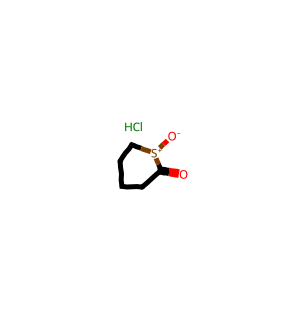 Cl.O=C1CCCC[S+]1[O-]